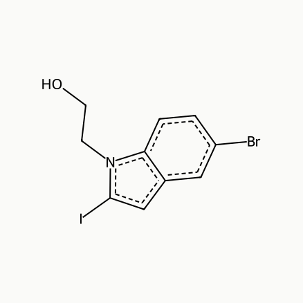 OCCn1c(I)cc2cc(Br)ccc21